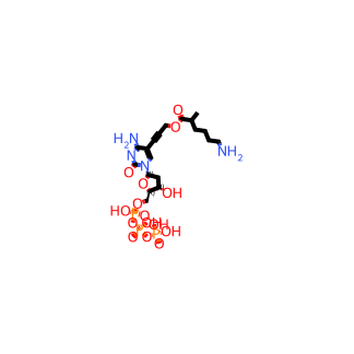 CC(CCCCN)C(=O)OCC#Cc1cn([C@H]2C[C@@H](O)[C@@H](COP(=O)(O)OP(=O)(O)OP(=O)(O)O)O2)c(=O)nc1N